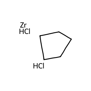 C1CCCC1.Cl.Cl.[Zr]